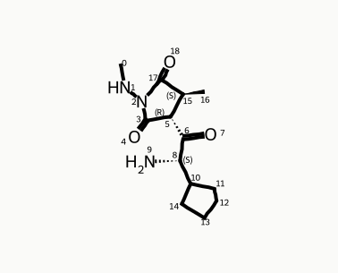 CNN1C(=O)[C@@H](C(=O)[C@@H](N)C2CCCC2)[C@H](C)C1=O